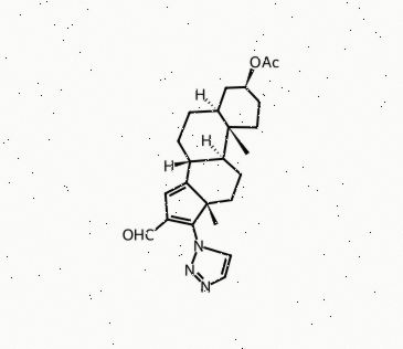 CC(=O)O[C@H]1CC[C@@]2(C)[C@@H](CC[C@H]3C4=CC(C=O)=C(n5ccnn5)[C@@]4(C)CC[C@@H]32)C1